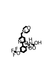 O=C(O)NS(=O)(=O)c1ccc(OC(F)(F)F)cc1-c1ccc(CN2CCOCC2)cn1